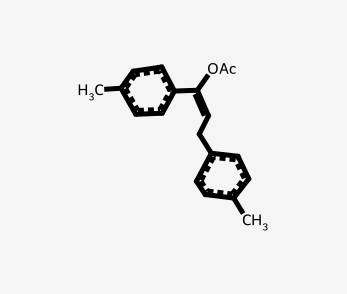 CC(=O)OC(=CCc1ccc(C)cc1)c1ccc(C)cc1